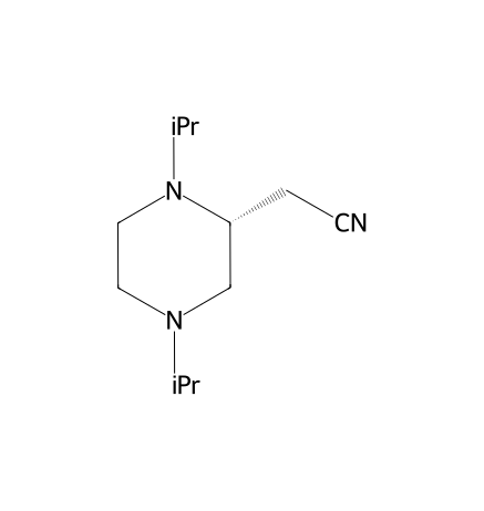 CC(C)N1CCN(C(C)C)[C@H](CC#N)C1